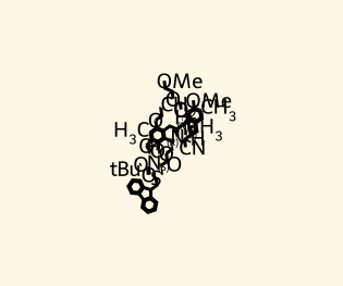 C=CCOc1c(C)c2c(c3c1CC1[C@H]4c5c(cc(C)c(OC)c5OCOCCOC)C[C@@H](C(C#N)N1[C@H]3COC(=O)[C@@H](CSCC1c3ccccc3-c3ccccc31)NC(=O)OC(C)(C)C)N4C)OCO2